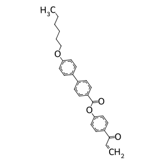 C=CC(=O)c1ccc(OC(=O)c2ccc(-c3ccc(OCCCCCC)cc3)cc2)cc1